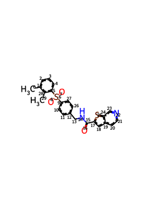 Cc1cccc(S(=O)(=O)c2ccc(CNC(=O)c3cc4ccncc4s3)cc2)c1C